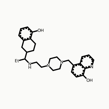 CCC(NCCN1CCN(Cc2ccc(O)c3ncccc23)CC1)C1CCc2c(O)cccc2C1